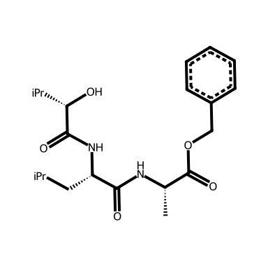 CC(C)C[C@H](NC(=O)[C@@H](O)C(C)C)C(=O)N[C@@H](C)C(=O)OCc1ccccc1